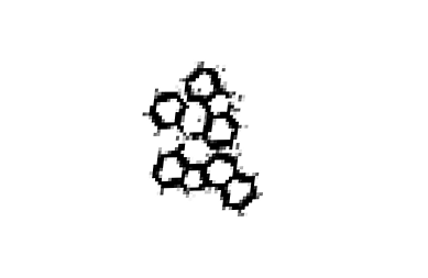 c1ccc(N(c2cccc3oc4c5ccccc5ccc4c23)c2cccc3sc4ccccc4c23)cc1